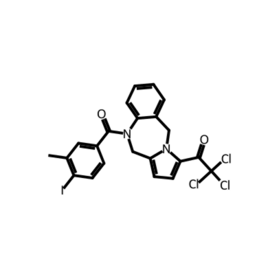 Cc1cc(C(=O)N2Cc3ccc(C(=O)C(Cl)(Cl)Cl)n3Cc3ccccc32)ccc1I